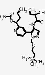 C=CCC(OC(N)=O)c1cc(-c2c(NC(=O)C(C)C=C)cnn2COCC[Si](C)(C)C)ccn1